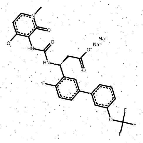 Cn1ccc([O-])c(NC(=O)N[C@@H](CC(=O)[O-])c2cc(-c3cccc(OC(F)(F)F)c3)ccc2F)c1=O.[Na+].[Na+]